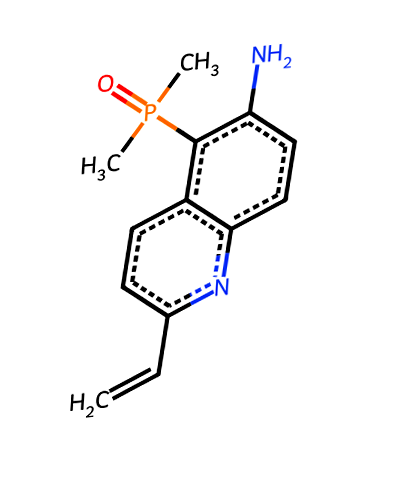 C=Cc1ccc2c(P(C)(C)=O)c(N)ccc2n1